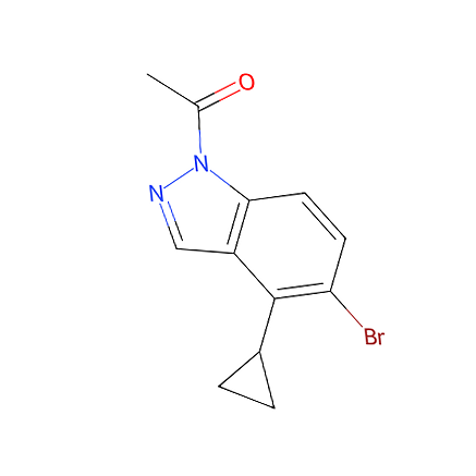 CC(=O)n1ncc2c(C3CC3)c(Br)ccc21